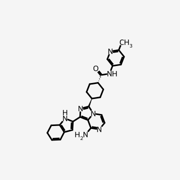 Cc1ccc(NC(=O)[C@H]2CC[C@H](c3nc(-c4cc5c([nH]4)CCC=C5)c4c(N)nccn43)CC2)cn1